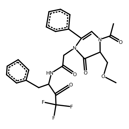 COCC1C(=O)N(CC(=O)NC(Cc2ccccc2)C(=O)C(F)(F)F)C(c2ccccc2)=CN1C(C)=O